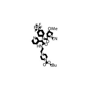 CO[C@@H]1C[C@H](C(=O)N(c2ccc(S(F)(F)(F)(F)F)cc2)C(C(=O)NCCN2CCN(C(=O)OC(C)(C)C)CC2)c2cccnc2)N(C#N)C1